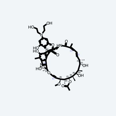 CO[C@H]1/C=C/O[C@@]2(C)Oc3c(C)c(O)c4c(=O)c(c5oc6cc(N(CCO)CCO)cc(O)c6nc-5c4c3/C2=N/O)NC(=O)/C(C)=C\C=C\[C@H](C)[C@H](O)[C@@H](C)[C@@H](O)[C@@H](C)[C@H](OC(C)=O)[C@@H]1C